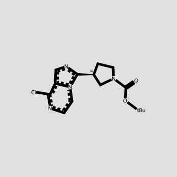 CC(C)(C)OC(=O)N1CC[C@H](c2ncc3c(Cl)nccn23)C1